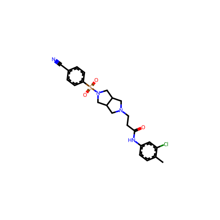 Cc1ccc(NC(=O)CCN2CC3CN(S(=O)(=O)c4ccc(C#N)cc4)CC3C2)cc1Cl